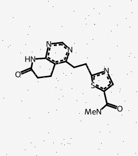 CNC(=O)c1cnc(CCc2ncnc3c2CCC(=O)N3)s1